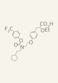 CCOC(Cc1ccc(OCCN(CCC2CCCC2)C(=O)Oc2ccc(C(F)(F)F)cc2)cc1)C(=O)O